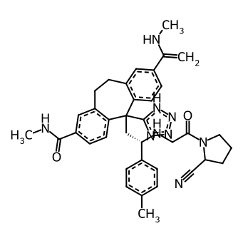 C=C(NC)c1ccc2c(c1)CCc1cc(C(=O)NC)ccc1C2(C[C@H](NCC(=O)N1CCCC1C#N)c1ccc(C)cc1)c1nnn[nH]1